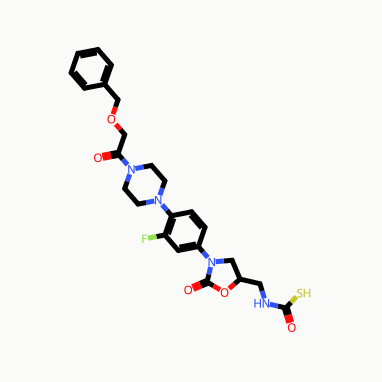 O=C(S)NCC1CN(c2ccc(N3CCN(C(=O)COCc4ccccc4)CC3)c(F)c2)C(=O)O1